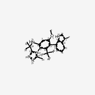 COc1cc2c(c(C(F)(F)F)c1-c1cccc3c(C)c[nH]c13)-n1c(C)nnc1C(C)(C)N2